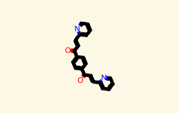 O=C(/C=C/c1ccccn1)c1ccc(C(=O)/C=C/c2ccccn2)cc1